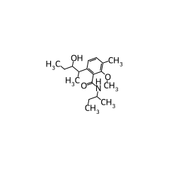 CCC(C)NC(=O)c1c(C(C)C(O)CC)ccc(C)c1OC